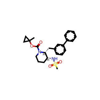 CC1(OC(=O)N2CCC[C@@H](NS(C)(=O)=O)[C@H]2Cc2cccc(-c3ccccc3)c2)CC1